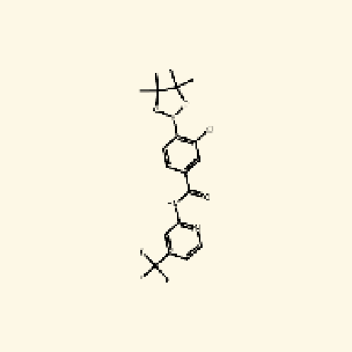 CC1(C)OB(c2ccc(C(=O)Nc3cc(C(F)(F)F)ccn3)cc2Cl)OC1(C)C